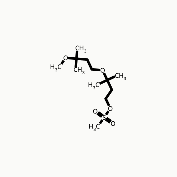 COC(C)(C)CCOC(C)(C)CCOS(C)(=O)=O